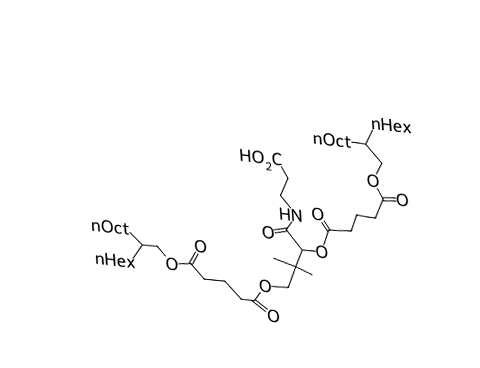 CCCCCCCCC(CCCCCC)COC(=O)CCCC(=O)OCC(C)(C)C(OC(=O)CCCC(=O)OCC(CCCCCC)CCCCCCCC)C(=O)NCCC(=O)O